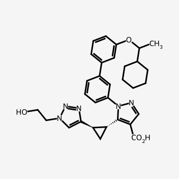 CC(Oc1cccc(-c2cccc(-n3ncc(C(=O)O)c3[C@@H]3C[C@H]3c3cn(CCO)nn3)c2)c1)C1CCCCC1